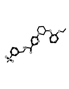 CCOc1ccccc1OC1CCCN(c2ccc(C(=O)NCc3cccc(S(C)(=O)=O)c3)cn2)C1